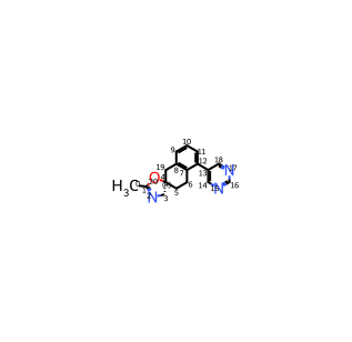 CC1=NC[C@]2(CCc3c(cccc3-c3cncnc3)C2)O1